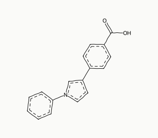 O=C(O)c1ccc(-c2ccn(-c3ccccc3)c2)cc1